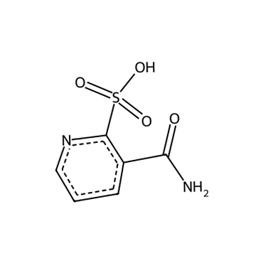 NC(=O)c1cccnc1S(=O)(=O)O